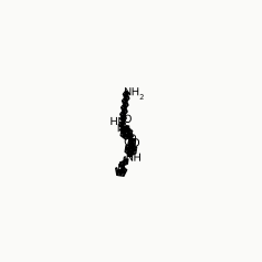 NCCCCCCCC(=O)Nc1nc2ccc(OS(=O)(=O)c3ccc(NCCCn4cccc4)cc3)cc2s1